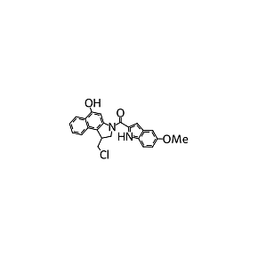 COc1ccc2[nH]c(C(=O)N3CC(CCl)c4c3cc(O)c3ccccc43)cc2c1